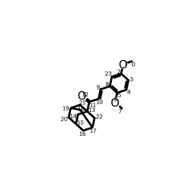 COc1ccc(OC)c(C=CC(=O)C23CC4CC(CC(C4)C2)C3)c1